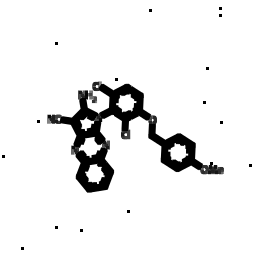 COc1ccc(COc2ccc(Cl)c(-n3c(N)c(C#N)c4nc5ccccc5nc43)c2Cl)cc1